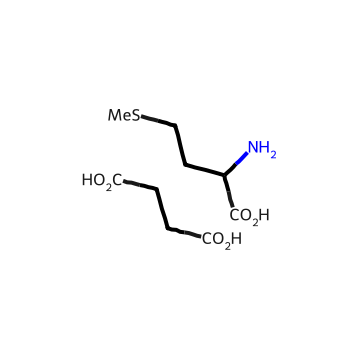 CSCCC(N)C(=O)O.O=C(O)CCC(=O)O